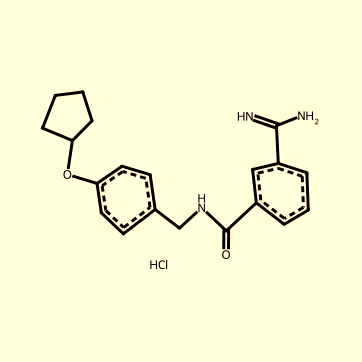 Cl.N=C(N)c1cccc(C(=O)NCc2ccc(OC3CCCC3)cc2)c1